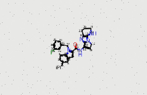 CC(C)c1ccc2c(c1)cc(C(=O)NC1=CCn3c1nc1c3NCCC1)n2Cc1cccc(F)c1